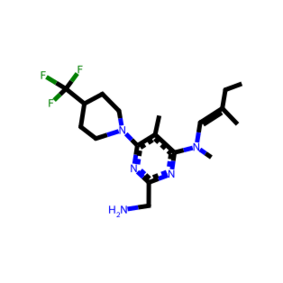 CC/C(C)=C/N(C)c1nc(CN)nc(N2CCC(C(F)(F)F)CC2)c1C